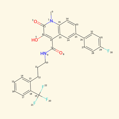 Cn1c(=O)c(O)c(C(=O)NCCCc2ccccc2C(F)(F)F)c2cc(-c3ccc(F)cc3)ccc21